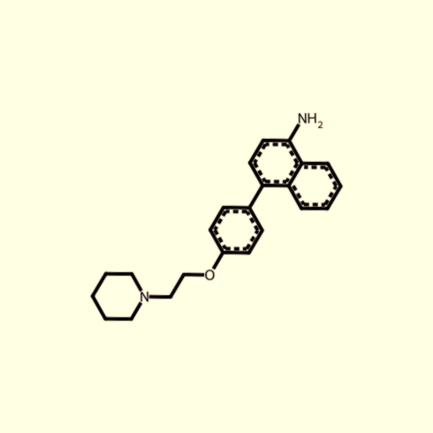 Nc1ccc(-c2ccc(OCCN3CCCCC3)cc2)c2ccccc12